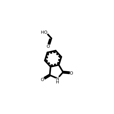 O=C1NC(=O)c2ccccc21.O=CO